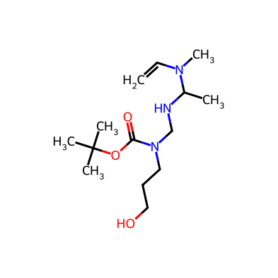 C=CN(C)C(C)NCN(CCCO)C(=O)OC(C)(C)C